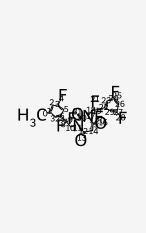 Cc1cc(F)cc(C(F)(F)CN2C(=O)CC(=O)N(CC(F)(F)c3cc(F)cc(F)c3)C2=O)c1